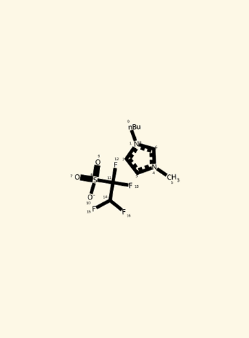 CCCC[n+]1ccn(C)c1.O=S(=O)([O-])C(F)(F)C(F)F